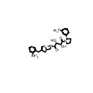 Cc1cccc([C@H]2CCCN2C(=O)[C@H](O)[C@@H](O)C(=O)NCC2CC(Cc3ccccc3N)=CS2)c1